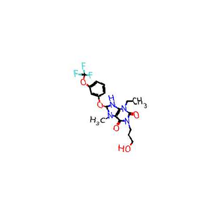 CCn1c2c(c(=O)n(CCCO)c1=O)N(C)C(Oc1cccc(OC(F)(F)F)c1)N2